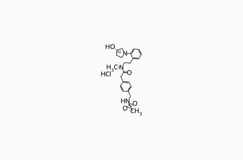 CN(CCc1ccccc1N1CC[C@H](O)C1)C(=O)Cc1ccc(CNS(C)(=O)=O)cc1.Cl